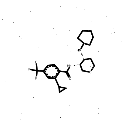 O=C(N[C@H]1COCC[C@H]1NC1CCCCC1)c1ccc(C(F)(F)F)cc1C1CC1